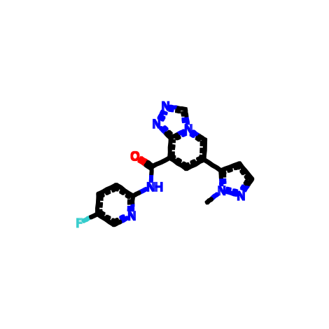 Cn1nccc1-c1cc(C(=O)Nc2ccc(F)cn2)c2nncn2c1